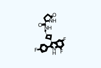 O=C1CC[C@H](C(=O)NC[C@H]2C[C@@H](c3c(-c4ccc(F)cc4)[nH]c4c(F)cc(F)cc43)C2)N1